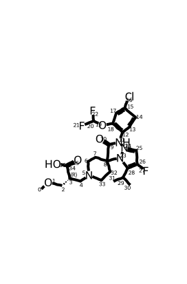 COC[C@@H](CN1CCC(C(=O)Nc2ccc(Cl)cc2OC(F)F)(n2ncc(F)c2C(C)C)CC1)C(=O)O